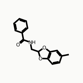 Cc1ccc2c(c1)OC(CNC(=O)c1ccccc1)O2